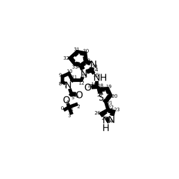 CC(C)(C)OC(=O)N1CCCC1Cn1c(NC(=O)c2ccc(-c3cn[nH]c3)s2)nc2ccccc21